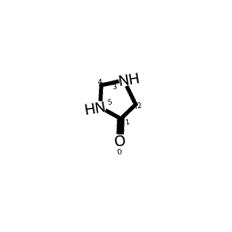 O=C1[CH]NCN1